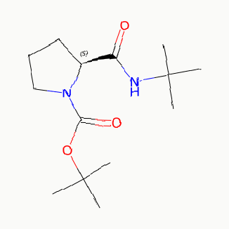 CC(C)(C)NC(=O)[C@@H]1CCCN1C(=O)OC(C)(C)C